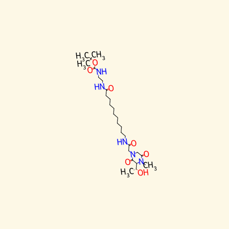 C[C@@H](O)[C@H]1C(=O)N(CC(=O)NCCCCCCCCCCC(=O)NCCNC(=O)OC(C)(C)C)CC(=O)N1C